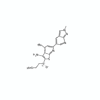 COCC[S@@+]([O-])c1sc2nc(-c3cnc4nn(C)cc4c3)cc(C(C)(C)C)c2c1N